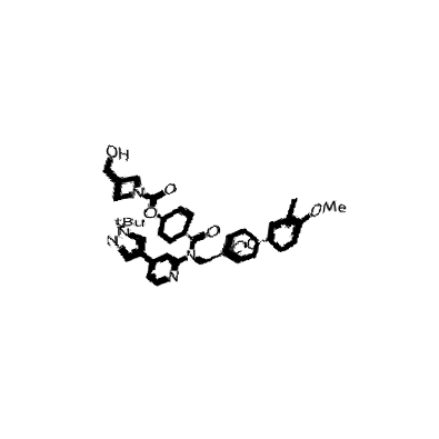 COc1ccc([C@]23CC[C@@](CN(c4cc(-c5cnn(C(C)(C)C)c5)ccn4)C(=O)[C@H]4CC[C@H](OC(=O)N5CC(CO)C5)CC4)(CC2)CC3)cc1C